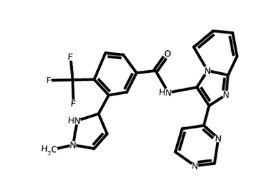 CN1C=CC(c2cc(C(=O)Nc3c(-c4ccncn4)nc4ccccn34)ccc2C(F)(F)F)N1